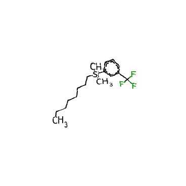 CCCCCCCC[Si](C)(C)c1cccc(C(F)(F)F)c1